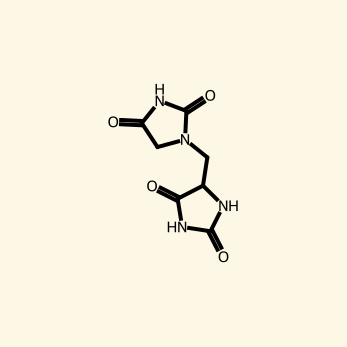 O=C1CN(CC2NC(=O)NC2=O)C(=O)N1